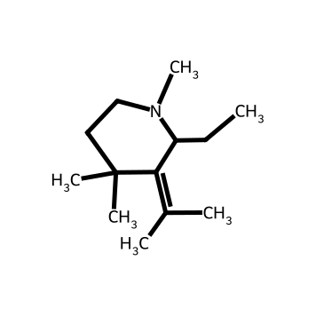 CCC1C(=C(C)C)C(C)(C)CCN1C